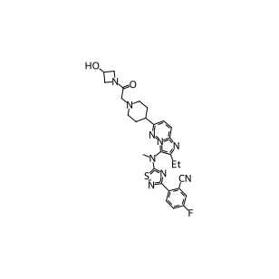 CCc1nc2ccc(C3CCN(CC(=O)N4CC(O)C4)CC3)nn2c1N(C)c1nc(-c2ccc(F)cc2C#N)ns1